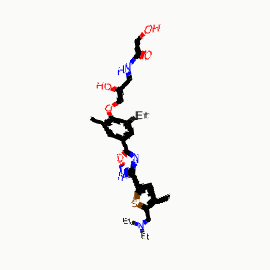 CCc1cc(-c2nc(-c3cc(C)c(CN(CC)CC)s3)no2)cc(C)c1OCC(O)CNC(=O)CO